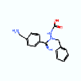 N=C(c1ccc(CN)cc1)N(Cc1ccccc1)NC(=O)O